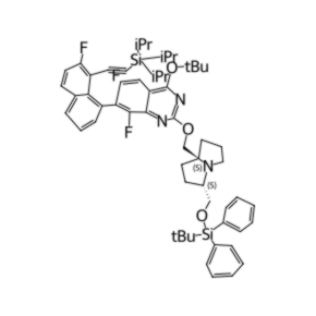 CC(C)[Si](C#Cc1c(F)ccc2cccc(-c3c(F)cc4c(OC(C)(C)C)nc(OC[C@@]56CCCN5[C@H](CO[Si](c5ccccc5)(c5ccccc5)C(C)(C)C)CC6)nc4c3F)c12)(C(C)C)C(C)C